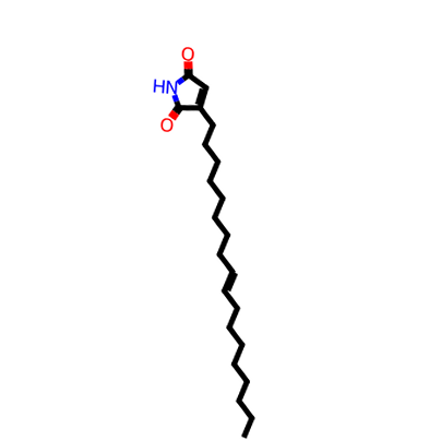 CCCCCCCCC=CCCCCCCCCC1=CC(=O)NC1=O